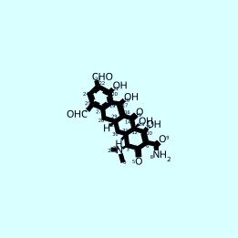 CN(C)[C@@H]1C(=O)C(C(N)=O)=C(O)[C@@]2(O)C(=O)C3=C(O)c4c(O)c(C=O)cc(C=O)c4C[C@H]3C[C@@H]12